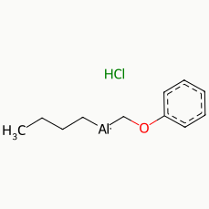 CCC[CH2][Al][CH2]Oc1ccccc1.Cl